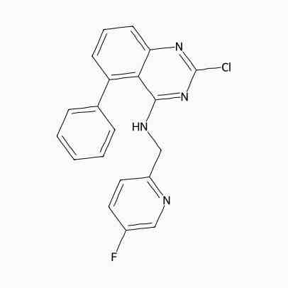 Fc1ccc(CNc2nc(Cl)nc3cccc(-c4ccccc4)c23)nc1